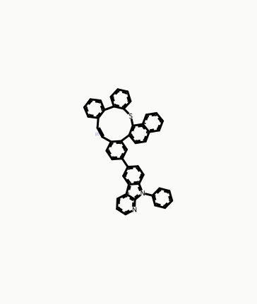 C1=C\c2ccc(-c3ccc4c(c3)c3cccnc3n4-c3ccccc3)cc2-c2ccc3ccccc3c2Sc2ccccc2-c2ccccc2/1